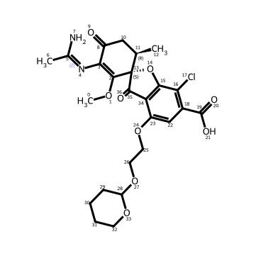 COC1=C(/N=C(/C)N)C(=O)C[C@@H](C)[C@]12Oc1c(Cl)c(C(=O)O)cc(OCCOC3CCCCO3)c1C2=O